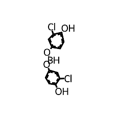 Oc1ccc(OBOc2ccc(O)c(Cl)c2)cc1Cl